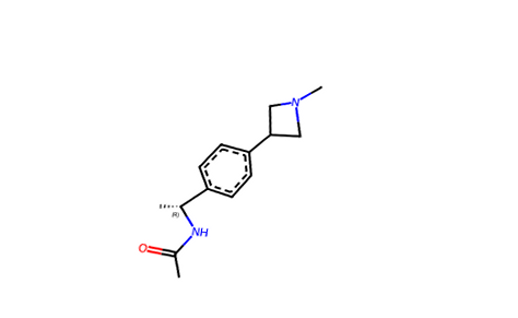 CC(=O)N[C@H](C)c1ccc(C2CN(C)C2)cc1